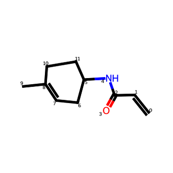 C=CC(=O)NC1CC=C(C)CC1